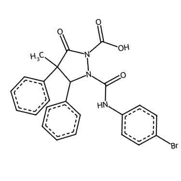 CC1(c2ccccc2)C(=O)N(C(=O)O)N(C(=O)Nc2ccc(Br)cc2)C1c1ccccc1